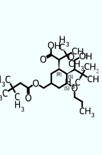 CCCO[C@H]1CC(COC(=O)CC(C)(C)C)C[C@@H](C(C(=O)O)C(C)(C)C)[C@H]1C(C(=O)O)C(C)(C)C